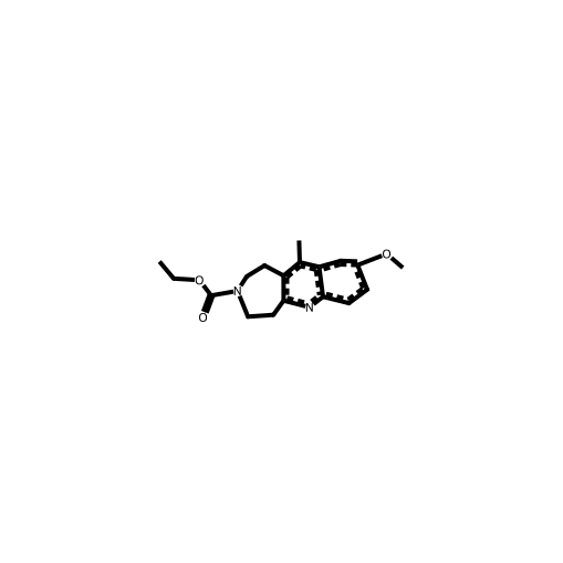 CCOC(=O)N1CCc2nc3ccc(OC)cc3c(C)c2CC1